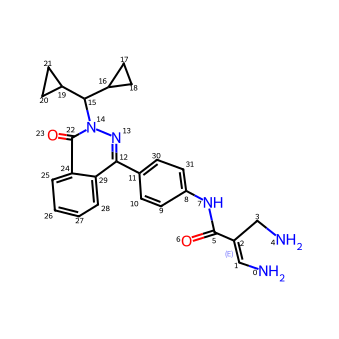 N/C=C(\CN)C(=O)Nc1ccc(-c2nn(C(C3CC3)C3CC3)c(=O)c3ccccc23)cc1